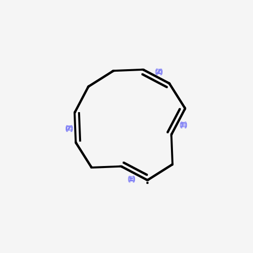 [C]1=C/C/C=C\CC/C=C\C=C\C/1